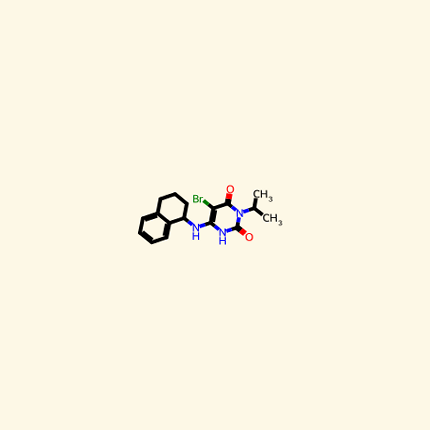 CC(C)n1c(=O)[nH]c(NC2CCCc3ccccc32)c(Br)c1=O